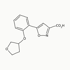 O=C(O)c1cc(-c2ccccc2OC2CCOC2)on1